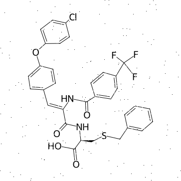 O=C(N[C@@H](CSCc1ccccc1)C(=O)O)C(=Cc1ccc(Oc2ccc(Cl)cc2)cc1)NC(=O)c1ccc(C(F)(F)F)cc1